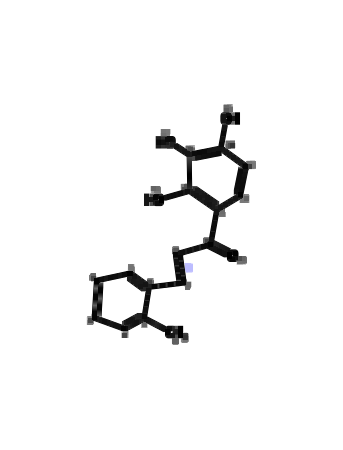 Cc1ccccc1/C=C/C(=O)c1ccc(O)c(O)c1O